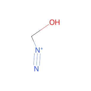 N#[N+]CO